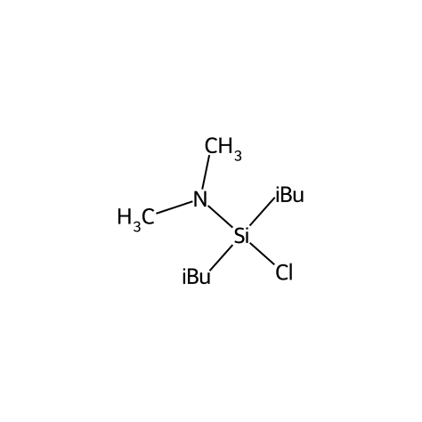 CCC(C)[Si](Cl)(C(C)CC)N(C)C